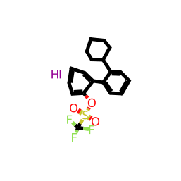 I.O=S(=O)(Oc1ccccc1-c1ccccc1C1CCCCC1)C(F)(F)F